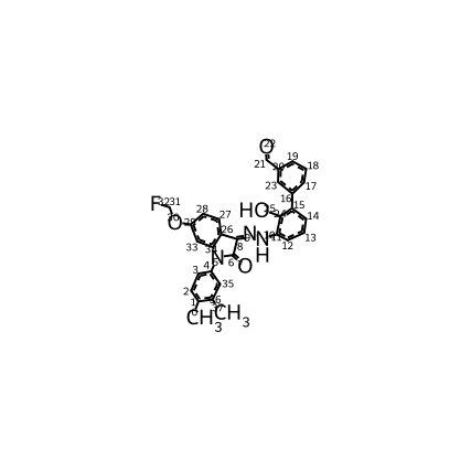 Cc1ccc(N2C(=O)/C(=N\Nc3cccc(-c4cccc(C=O)c4)c3O)c3ccc(OCF)cc32)cc1C